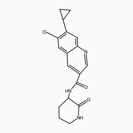 O=C(NC1CCCNC1=O)c1cnc2cc(C3CC3)c(Cl)cc2c1